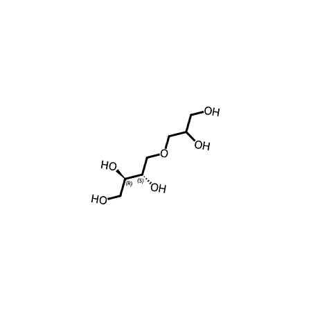 OCC(O)COC[C@H](O)[C@H](O)CO